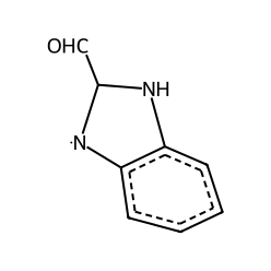 O=CC1[N]c2ccccc2N1